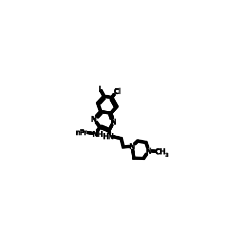 CCCNc1nc2cc(I)c(Cl)cc2nc1NCCN1CCN(C)CC1